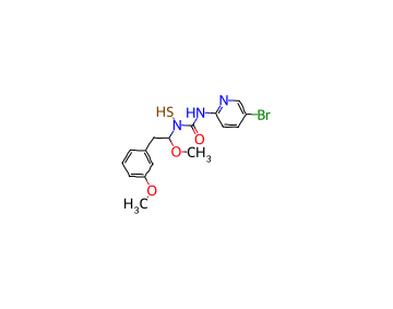 COc1cccc(CC(OC)N(S)C(=O)Nc2ccc(Br)cn2)c1